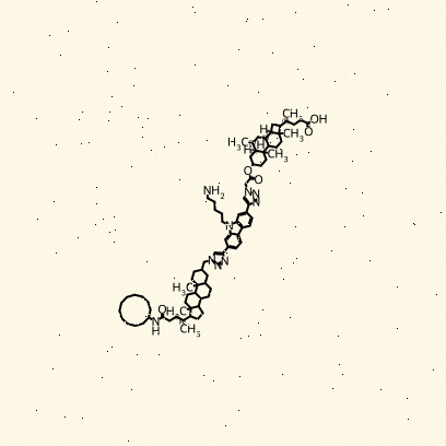 C[C@H](CCC(=O)NC1CCCCCCCCCCC1)C1CCC2C3CCC4CC(Cn5cc(-c6ccc7c8ccc(-c9cn(CC(=O)OC%10CCC%11(C)C%12CCC%13(C)C([C@H](C)CCC(=O)O)C[C@H]%13[C@@H]%12C[C@H](C)[C@@H]%11C%10)nn9)cc8n(CCCCCN)c7c6)nn5)CCC4(C)C3CCC21C